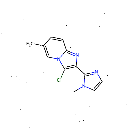 Cn1ccnc1-c1nc2ccc(C(F)(F)F)cn2c1Cl